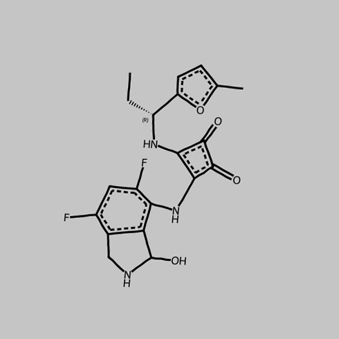 CC[C@@H](Nc1c(Nc2c(F)cc(F)c3c2C(O)NC3)c(=O)c1=O)c1ccc(C)o1